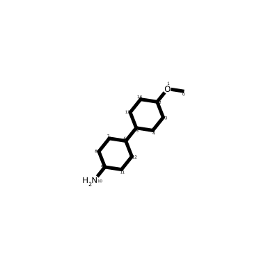 COC1CCC(C2CCC(N)CC2)CC1